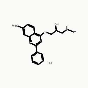 COc1ccc2c(OCC(O)CNC(C)C)cc(-c3ccccc3)nc2c1.Cl